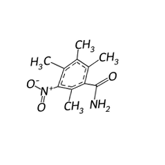 Cc1c(C)c(C(N)=O)c(C)c([N+](=O)[O-])c1C